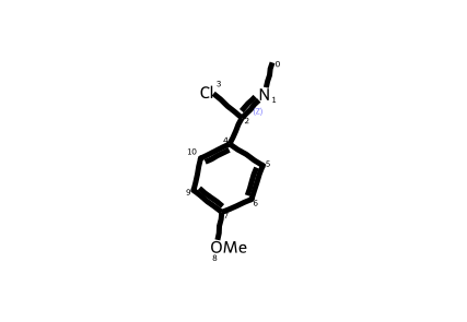 C/N=C(\Cl)c1ccc(OC)cc1